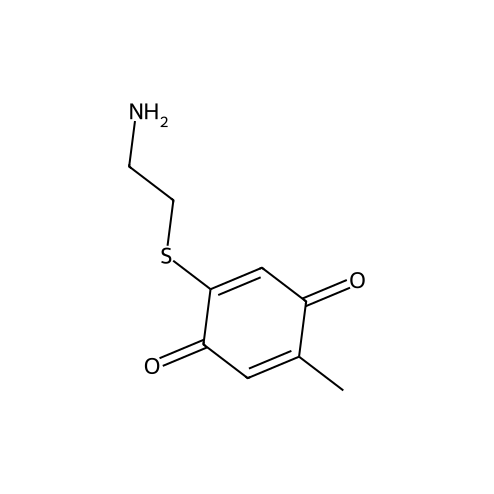 CC1=CC(=O)C(SCCN)=CC1=O